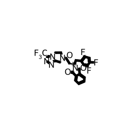 O=C(C[C@@H](Cc1cc(F)c(F)cc1F)N1C(=O)c2ccccc2C1=O)N1CCn2c(nnc2C(F)(F)F)C1